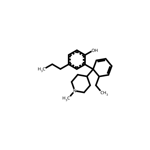 CCCc1ccc(O)c(C2(C3CCN(C)CC3)C=CC=CC2CC)c1